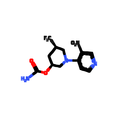 NC(=O)O[C@H]1C[C@@H](C(F)(F)F)CN(c2ccncc2[N+](=O)[O-])C1